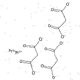 O=C([O-])CC(=O)[O-].O=C([O-])CC(=O)[O-].O=C([O-])CC(=O)[O-].[Pr+3].[Pr+3]